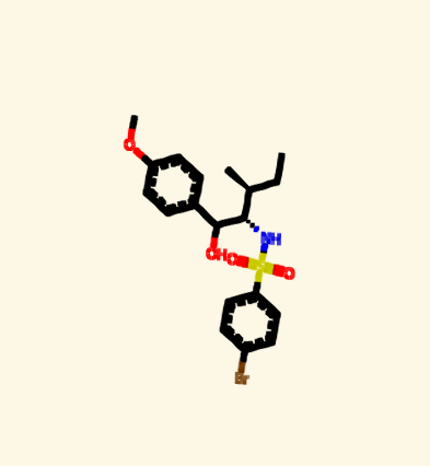 CC[C@H](C)[C@H](NS(=O)(=O)c1ccc(Br)cc1)C(O)c1ccc(OC)cc1